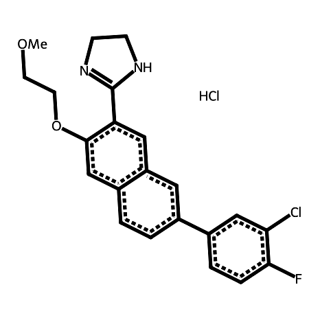 COCCOc1cc2ccc(-c3ccc(F)c(Cl)c3)cc2cc1C1=NCCN1.Cl